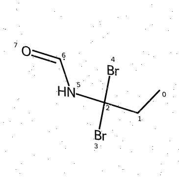 CCC(Br)(Br)N[C]=O